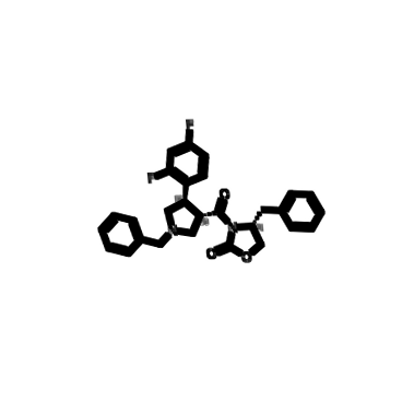 O=C1OC[C@@H](Cc2ccccc2)N1C(=O)[C@@H]1CN(Cc2ccccc2)C[C@H]1c1ccc(F)cc1F